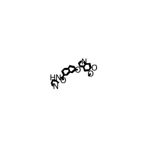 COc1cc2nccc(Oc3ccc4ccc(C(=O)Nc5cccnc5)cc4c3)c2cc1OC